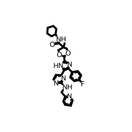 CC1(C(=O)NC2CCCCC2)COC(c2nc(-c3ccc(F)cc3)c(-c3ccnc(NCc4ccccn4)n3)[nH]2)OC1